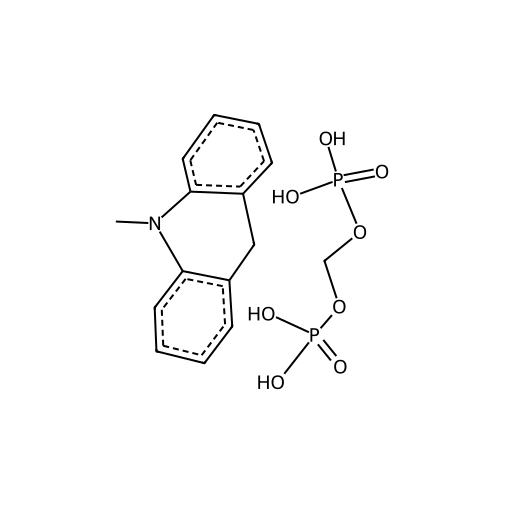 CN1c2ccccc2Cc2ccccc21.O=P(O)(O)OCOP(=O)(O)O